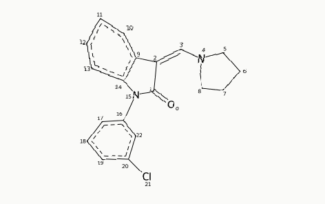 O=C1C(=CN2CCCC2)c2ccccc2N1c1cccc(Cl)c1